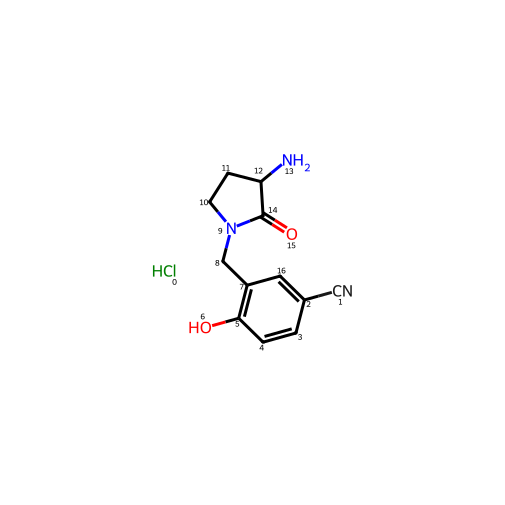 Cl.N#Cc1ccc(O)c(CN2CCC(N)C2=O)c1